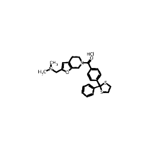 CN(C)Cc1cc2c(o1)CN(C(=O)c1ccc(C3(c4ccccc4)SCCS3)cc1)CC2.Cl